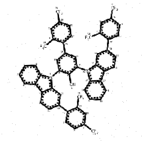 N#Cc1c(-n2c3ccccc3c3ccc(-c4ccc(C(F)(F)F)cc4C(F)(F)F)cc32)cc(-c2ccc(C(F)(F)F)cc2C(F)(F)F)cc1-n1c2ccccc2c2ccc(-c3ccc(C(F)(F)F)cc3C(F)(F)F)cc21